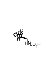 O=C(O)NCCCC#CC1=C[C@@H]2C[C@@]3(OC(=O)C=C13)C1CCCCN12